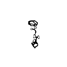 O=C(COC(=O)C1CC2C=CC1C2=O)OC12CC3CC(CC(C3)C1)C2